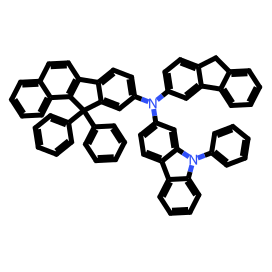 c1ccc(-n2c3ccccc3c3ccc(N(c4ccc5c(c4)-c4ccccc4C5)c4ccc5c(c4)C(c4ccccc4)(c4ccccc4)c4c-5ccc5ccccc45)cc32)cc1